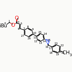 CCC(C)COC(=O)C=Cc1ccc(-c2ccc(N=Cc3ccc(C)cc3)cc2)cc1